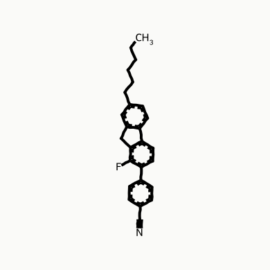 CCCCCCc1ccc2c(c1)Cc1c-2ccc(-c2ccc(C#N)cc2)c1F